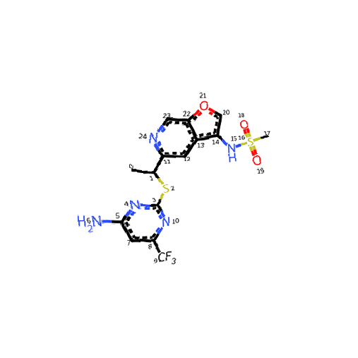 CC(Sc1nc(N)cc(C(F)(F)F)n1)c1cc2c(NS(C)(=O)=O)coc2cn1